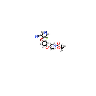 CC1(OC(=O)N2CCC(O[C@H]3CC[C@H](Oc4c(F)cncc4C#N)CC3)CC2)CC1